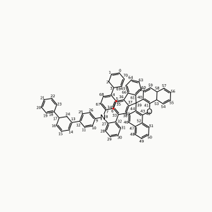 C1=CCC(c2ccc(N(c3ccc(C4=CC=CC(c5ccccc5)C4)cc3)c3ccccc3-c3ccc4c(c3)C3(C5=C(Oc6c3ccc3ccccc63)C3C=CC=CC3C=C5)c3ccccc3-4)cc2)C=C1